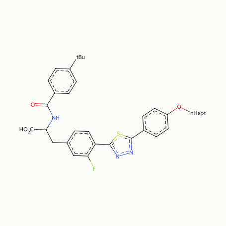 CCCCCCCOc1ccc(-c2nnc(-c3ccc(CC(NC(=O)c4ccc(C(C)(C)C)cc4)C(=O)O)cc3F)s2)cc1